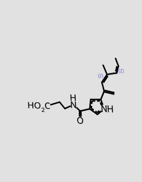 C=C(/C=C(C)\C=C/C)c1cc(C(=O)NCCC(=O)O)c[nH]1